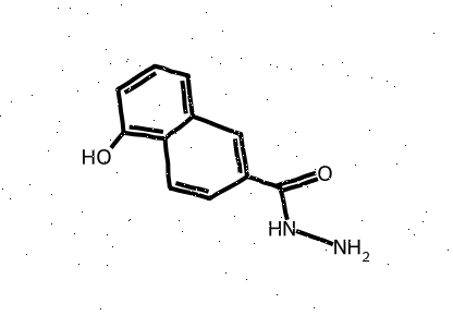 NNC(=O)c1ccc2c(O)cccc2c1